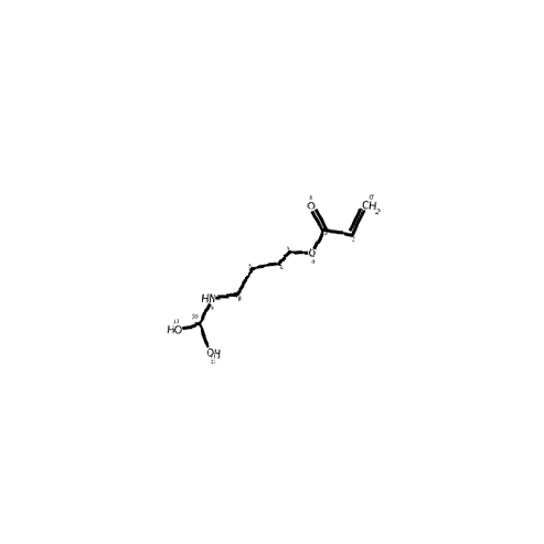 C=CC(=O)OCCCCNC(O)O